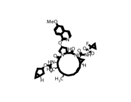 COc1ccc2c(O[C@@H]3C[C@H]4C(=O)N[C@]5(C(=O)NS(=O)(=O)C6(F)CC6)C[C@H]5/C=C\CC[C@@H](C)C[C@@H](C)[C@H](NC(=O)OC5CC6C[C@@H]6C5)C(=O)N4C3)nccc2c1